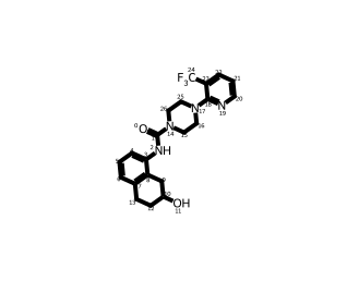 O=C(Nc1cccc2c1CC(O)CC2)N1CCN(c2ncccc2C(F)(F)F)CC1